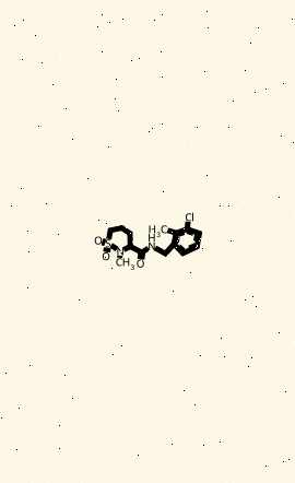 Cc1c(Cl)cccc1CNC(=O)C1CCCS(=O)(=O)N1C